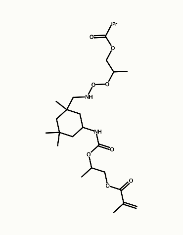 C=C(C)C(=O)OCC(C)OC(=O)NC1CC(C)(C)CC(C)(CNOOC(C)COC(=O)C(C)C)C1